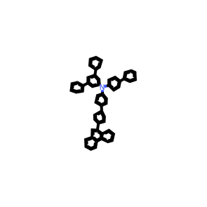 c1ccc(-c2ccc(N(c3ccc(-c4ccc(-c5cc6ccccc6c6ccccc56)cc4)cc3)c3cc(-c4ccccc4)cc(-c4ccccc4)c3)cc2)cc1